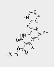 CCOC(=O)c1c(Cl)c2cc(F)cc(Cc3ccccn3)c2[nH]c1=O